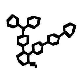 Nc1cccc(-c2ccc(N(c3ccccc3)c3ccccc3)cc2)c1-c1ccc(-c2ccc(-c3ccccc3)cc2)cc1